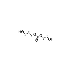 O=C(OCCO)OCCCO